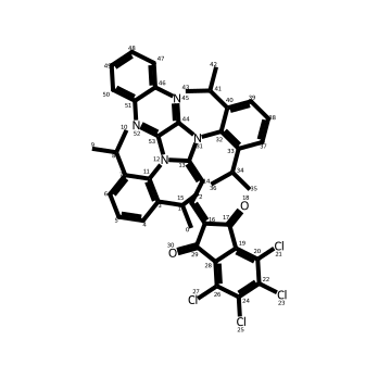 CC(C)c1cccc(C(C)C)c1N1C(=CC=C2C(=O)c3c(Cl)c(Cl)c(Cl)c(Cl)c3C2=O)N(c2c(C(C)C)cccc2C(C)C)c2nc3ccccc3nc21